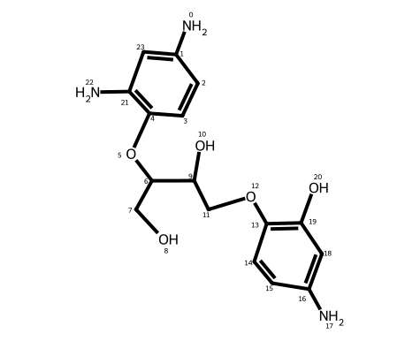 Nc1ccc(OC(CO)C(O)COc2ccc(N)cc2O)c(N)c1